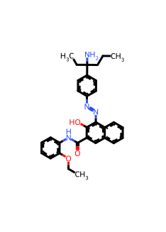 CCCC(N)(CC)c1ccc(N=Nc2c(O)c(C(=O)Nc3ccccc3OCC)cc3ccccc23)cc1